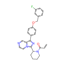 C=CC(=O)N1CCCCC1c1nc(-c2ccc(OCc3cccc(F)c3)cc2)c2cnccn12